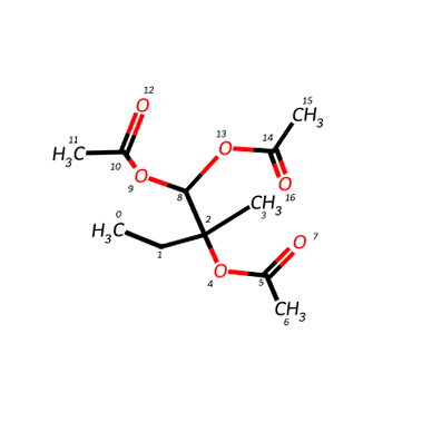 CCC(C)(OC(C)=O)C(OC(C)=O)OC(C)=O